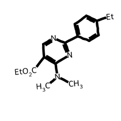 CCOC(=O)c1cnc(-c2ccc(CC)cc2)nc1N(C)C